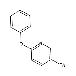 N#Cc1ccc(Oc2cc[c]cc2)nc1